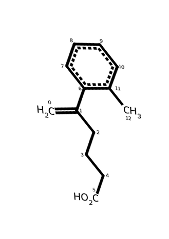 C=C(CCCC(=O)O)c1ccccc1C